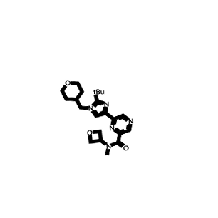 CN(C(=O)c1cncc(-c2cn(CC3CCOCC3)c(C(C)(C)C)n2)n1)C1COC1